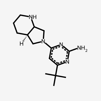 CC(C)(C)c1cc(N2CC3NCCC[C@@H]3C2)nc(N)n1